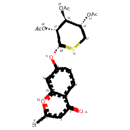 CCc1cc(=O)c2ccc(O[C@H]3SC[C@@H](OC(C)=O)[C@H](OC(C)=O)[C@H]3OC(C)=O)cc2o1